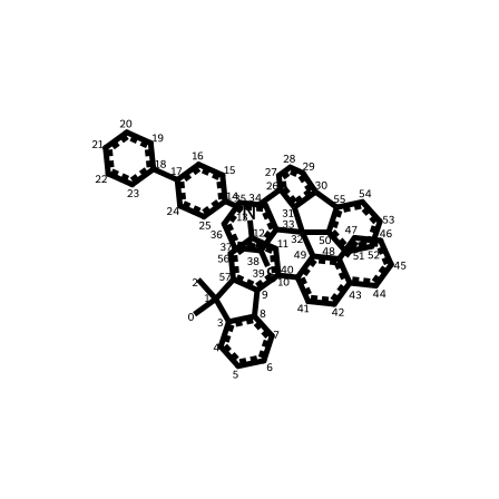 CC1(C)c2ccccc2-c2ccc(N(c3ccc(-c4ccccc4)cc3)c3cccc4c3C3(c5ccccc5Sc5ccc6ccccc6c53)c3ccccc3-4)cc21